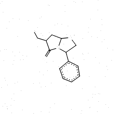 CCC1CC2OCC(c3ccccc3)N2C1=O